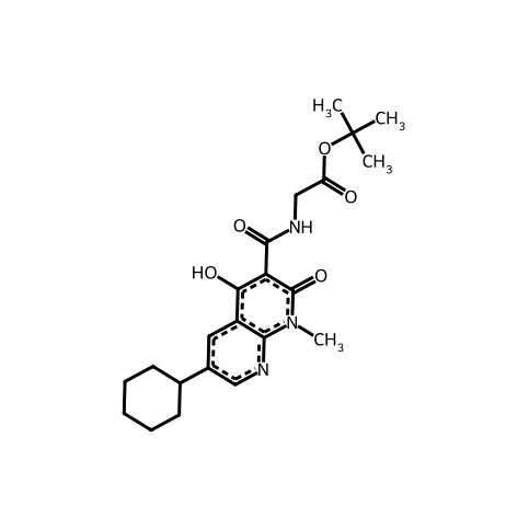 Cn1c(=O)c(C(=O)NCC(=O)OC(C)(C)C)c(O)c2cc(C3CCCCC3)cnc21